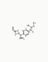 C=CN1CC(C(N)c2ccc(C(C)C(F)CF)cc2)C1